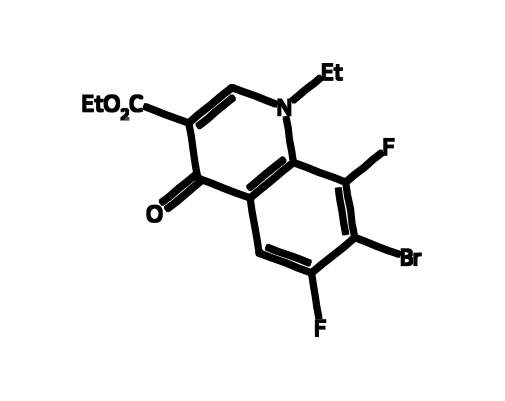 CCOC(=O)c1cn(CC)c2c(F)c(Br)c(F)cc2c1=O